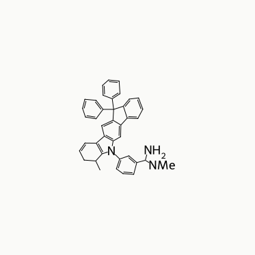 CNC(N)c1cccc(-n2c3c(c4cc5c(cc42)-c2ccccc2C5(c2ccccc2)c2ccccc2)C=CCC3C)c1